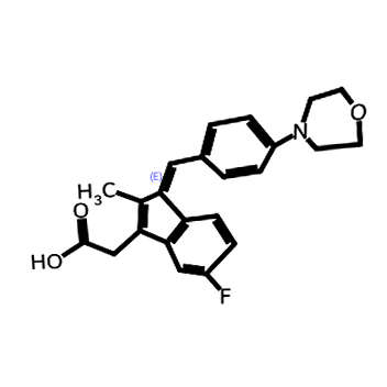 CC1=C(CC(=O)O)c2cc(F)ccc2/C1=C\c1ccc(N2CCOCC2)cc1